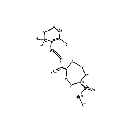 CC1=C(C=CC(=O)N2CCCN(C(=O)NC(C)C)CC2)C(C)(C)CCC1